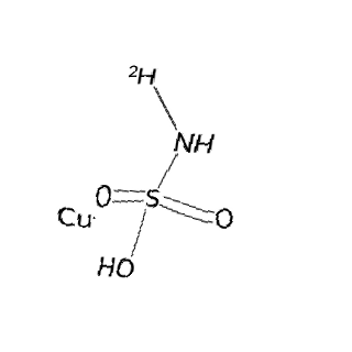 [2H]NS(=O)(=O)O.[Cu]